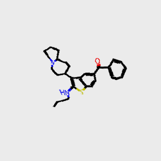 CCCNc1sc2ccc(C(=O)c3ccccc3)cc2c1C1CCC2CCCCN2CC1